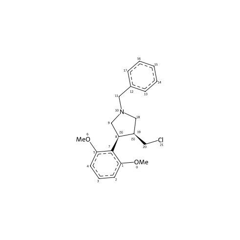 COc1cccc(OC)c1[C@H]1CN(Cc2ccccc2)C[C@H]1CCl